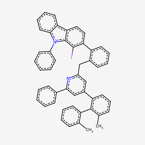 Cc1ccccc1-c1c(C)cccc1-c1cc(Cc2ccccc2-c2ccc3c4ccccc4n(-c4ccccc4)c3c2I)nc(-c2ccccc2)c1